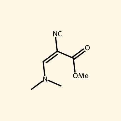 [C-]#[N+]C(=CN(C)C)C(=O)OC